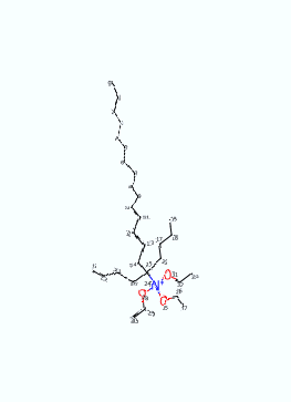 CCCCCCCCCCCCCCCC(CCCC)(CCCC)[N+](OCC)(OCC)OCC